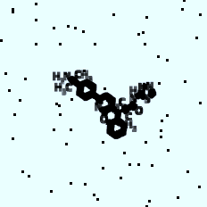 CC(C)(N)c1ccc(-c2ccc3c(n2)Oc2ccccc2[C@@H]3C(C)(C)C(=O)Nc2nncs2)cc1